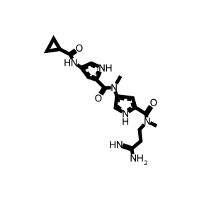 CN(CCC(=N)N)C(=O)c1cc(N(C)C(=O)c2cc(NC(=O)C3CC3)c[nH]2)c[nH]1